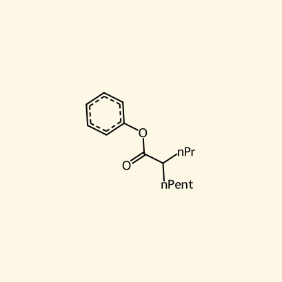 CCCCCC(CCC)C(=O)Oc1ccccc1